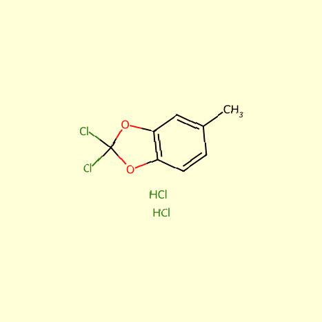 Cc1ccc2c(c1)OC(Cl)(Cl)O2.Cl.Cl